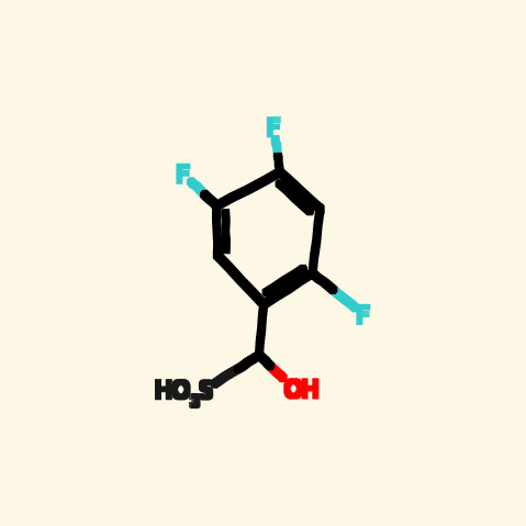 O=S(=O)(O)C(O)c1cc(F)c(F)cc1F